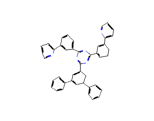 C1=C(c2ccccc2)C=C(c2nc(C3=CCCC(c4ccccn4)=C3)nc(-c3cccc(-c4ccccn4)c3)n2)CC1c1ccccc1